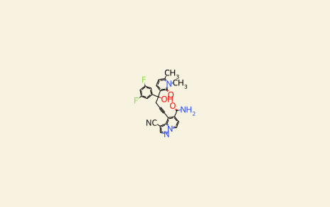 Cc1ccc(C(O)(CC#Cc2c(C(N)=O)ccn3ncc(C#N)c23)c2cc(F)cc(F)c2)c(=O)n1C